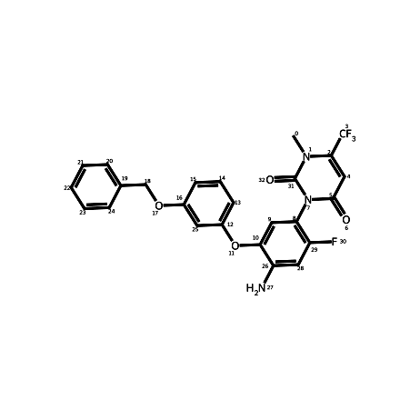 Cn1c(C(F)(F)F)cc(=O)n(-c2cc(Oc3cccc(OCc4ccccc4)c3)c(N)cc2F)c1=O